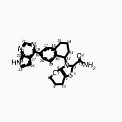 NC(=O)C1SC2=C(CCCC2)N1C1CCCc2cc(-c3ncnc4[nH]ccc34)ccc21